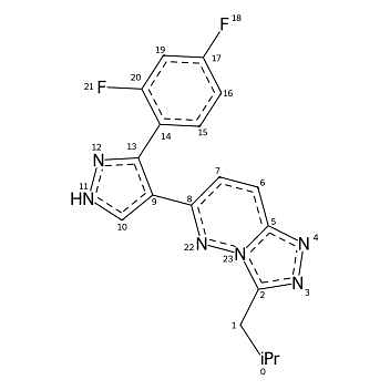 CC(C)Cc1nnc2ccc(-c3c[nH]nc3-c3ccc(F)cc3F)nn12